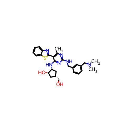 Cc1nc(NCc2cccc(CN(C)C)c2)nc(N[C@@H]2C[C@H](CO)C[C@H]2O)c1-c1nc2ccccc2s1